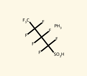 O=S(=O)(O)C(F)(F)C(F)(F)C(F)(F)C(F)(F)F.P